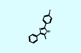 Cc1[nH]c(-c2ccc(F)cc2)nc1-c1ccccc1